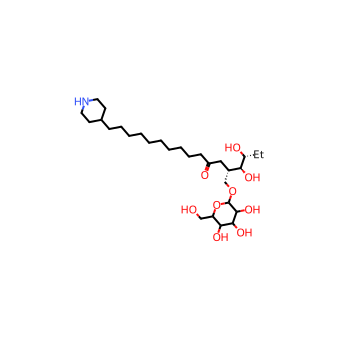 CC[C@@H](O)[C@@H](O)[C@H](COC1OC(CO)C(O)C(O)C1O)CC(=O)CCCCCCCCCCC1CCNCC1